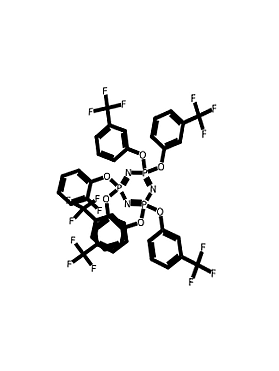 Fc1ccccc1OP1(Oc2cccc(C(F)(F)F)c2)=NP(Oc2cccc(C(F)(F)F)c2)(Oc2cccc(C(F)(F)F)c2)=NP(Oc2cccc(C(F)(F)F)c2)(Oc2cccc(C(F)(F)F)c2)=N1